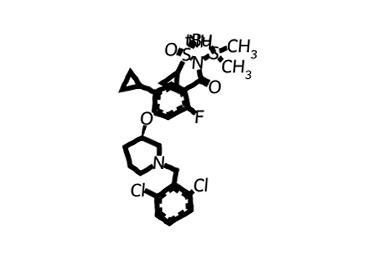 CC(C)(C)S(C)(C)N(C(=O)c1cc(C2CC2)c(O[C@@H]2CCCN(Cc3c(Cl)cccc3Cl)C2)cc1F)S(=N)(=O)C1CC1